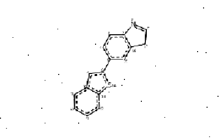 C1=Nc2ccc(-c3cc4ccccc4s3)cc2C1